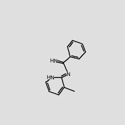 Cc1ccc[nH]/c1=N\C(=N)c1ccccc1